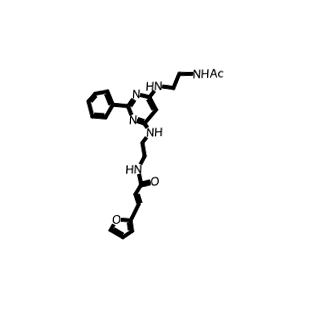 CC(=O)NCCNc1cc(NCCNC(=O)C=Cc2ccco2)nc(-c2ccccc2)n1